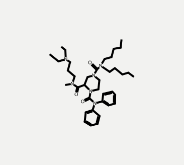 CCCCCN(CCCCC)C(=O)N1CCN(C(=O)N(c2ccccc2)c2ccccc2)C(C(=O)N(C)CCCN(CC)CC)C1